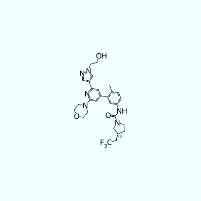 Cc1ccc(NC(=O)N2CC[C@@H](CC(F)(F)F)C2)cc1-c1cc(-c2cnn(CCO)c2)nc(N2CCOCC2)c1